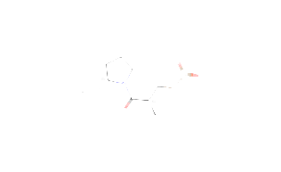 C[C@H](CS[SH](=O)=O)C(=O)N1CCC[C@H]1C(=O)O